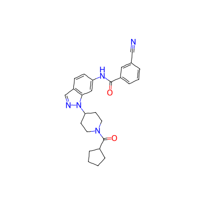 N#Cc1cccc(C(=O)Nc2ccc3cnn(C4CCN(C(=O)C5CCCC5)CC4)c3c2)c1